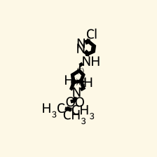 CC(C)(C)OC(=O)N1C[C@H]2C[C@H](CNc3ccc(Cl)nn3)C[C@H]2C1